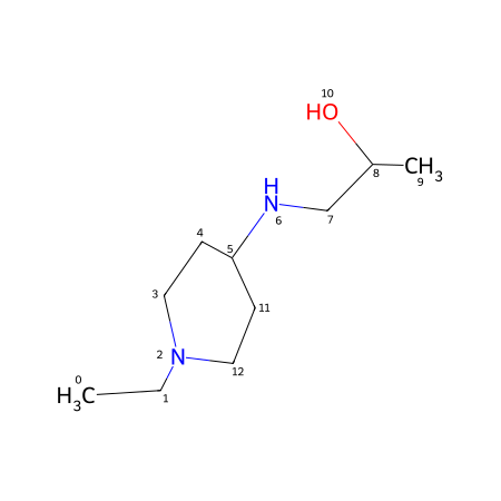 CCN1CCC(NCC(C)O)CC1